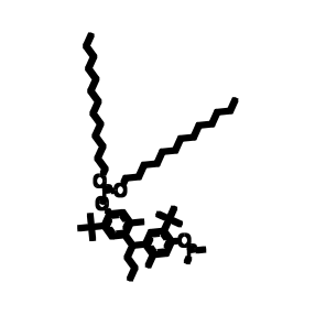 CCCCCCCCCCCCCOP(OCCCCCCCCCCCCC)Oc1cc(C)c(C(CCC)c2cc(C(C)(C)C)c(OP(C)C)cc2C)cc1C(C)(C)C